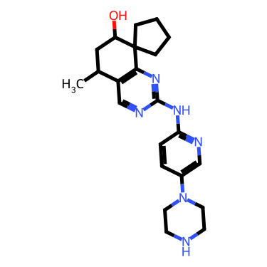 CC1CC(O)C2(CCCC2)c2nc(Nc3ccc(N4CCNCC4)cn3)ncc21